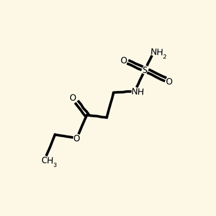 CCOC(=O)CCNS(N)(=O)=O